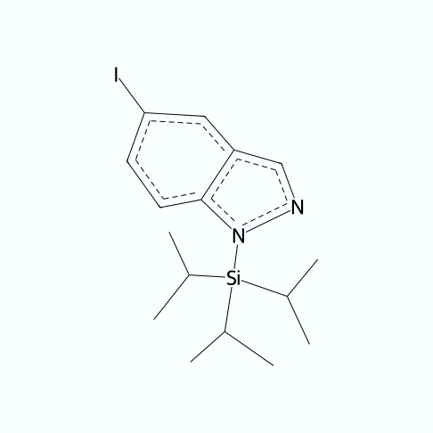 CC(C)[Si](C(C)C)(C(C)C)n1ncc2cc(I)ccc21